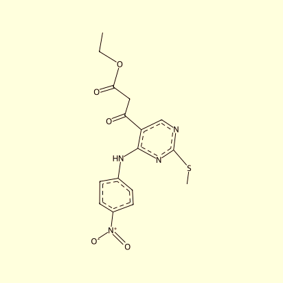 CCOC(=O)CC(=O)c1cnc(SC)nc1Nc1ccc([N+](=O)[O-])cc1